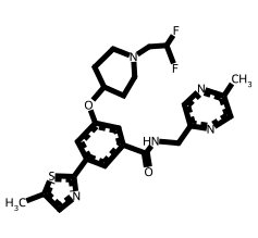 Cc1cnc(CNC(=O)c2cc(OC3CCN(CC(F)F)CC3)cc(-c3ncc(C)s3)c2)cn1